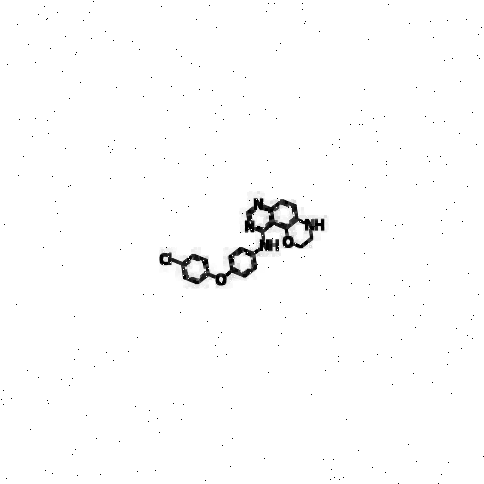 Clc1ccc(Oc2ccc(Nc3ncnc4ccc5c(c34)OCCN5)cc2)cc1